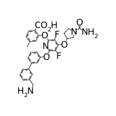 Cc1ccc(C(=O)O)c(Oc2nc(Oc3cccc(-c4cccc(CN)c4)c3)c(F)c(OC3CCN(C(N)=O)C3)c2F)c1